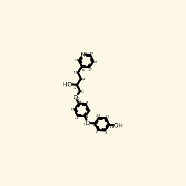 Oc1ccc(Oc2ccc(OCC(O)CCc3cccnc3)cc2)cc1